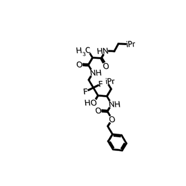 CC(C)CCNC(=O)C(C)C(=O)NCC(F)(F)C(O)C(CC(C)C)NC(=O)OCc1ccccc1